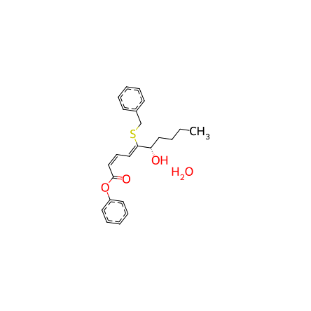 CCCC[C@H](O)C(=C/C=C\C(=O)Oc1ccccc1)SCc1ccccc1.O